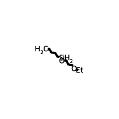 C=CCCC[SiH2]OCCCOCC